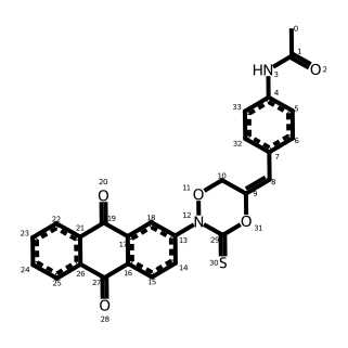 CC(=O)Nc1ccc(/C=C2\CON(c3ccc4c(c3)C(=O)c3ccccc3C4=O)C(=S)O2)cc1